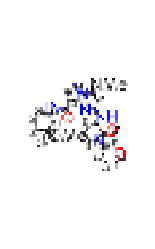 CNc1cc(Nc2cccn([C@H]3CCCOC3)c2=O)nc2c(C(=O)N[C@@H]3CCC[C@@](C)(OC)C3)cnn12